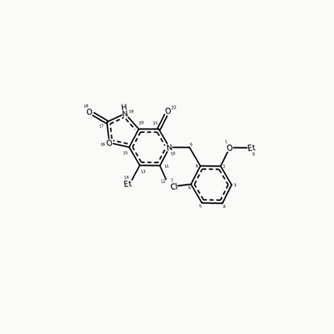 CCOc1cccc(Cl)c1Cn1c(C)c(CC)c2oc(=O)[nH]c2c1=O